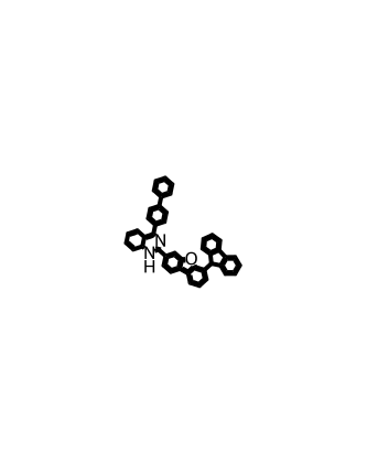 C1=CC2=C(c3ccc(-c4ccccc4)cc3)N=C(c3ccc4c(c3)oc3c(C5c6ccccc6-c6ccccc65)cccc34)NC2C=C1